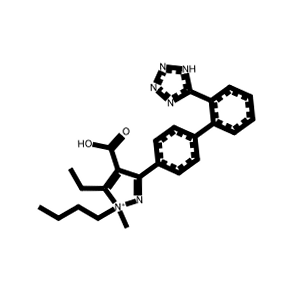 CCCC[N+]1(C)N=C(c2ccc(-c3ccccc3-c3nnn[nH]3)cc2)C(C(=O)O)=C1CC